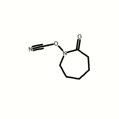 N#CON1CCCCCC1=O